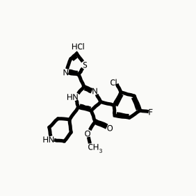 COC(=O)C1=C(C2CCNCC2)NC(c2nccs2)=NC1c1ccc(F)cc1Cl.Cl